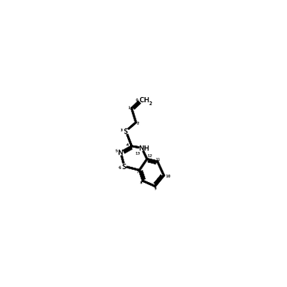 C=CCSC1=NSc2ccccc2N1